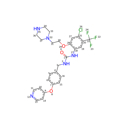 O=C(NCc1ccc(Oc2ccncc2)cc1)Nc1cc(C(F)(F)F)c(Cl)cc1OCCN1CCNCC1